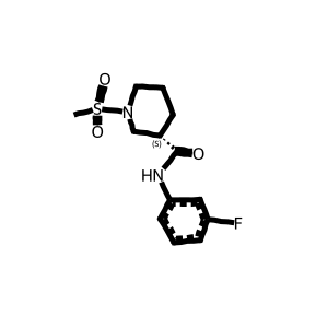 CS(=O)(=O)N1CCC[C@H](C(=O)Nc2cccc(F)c2)C1